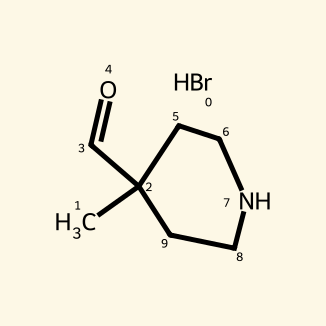 Br.CC1(C=O)CCNCC1